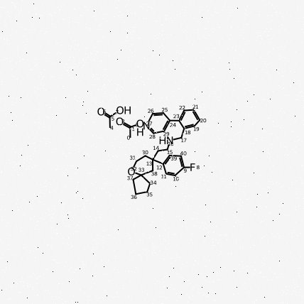 CC(=O)O.CC(=O)O.Fc1ccc(C2(CCNCc3ccccc3-c3ccncc3)CCOC3(CCCC3)C2)cc1